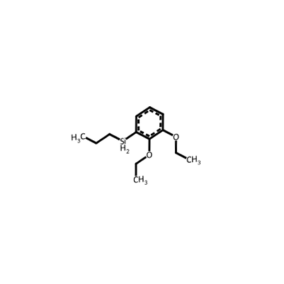 CCC[SiH2]c1cccc(OCC)c1OCC